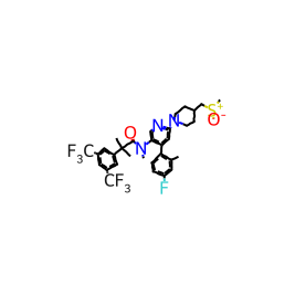 Cc1cc(F)ccc1-c1cc(N2CCC(C[S+](C)[O-])CC2)ncc1N(C)C(=O)C(C)(C)c1cc(C(F)(F)F)cc(C(F)(F)F)c1